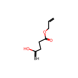 B=C(O)CCC(=O)OCC=C